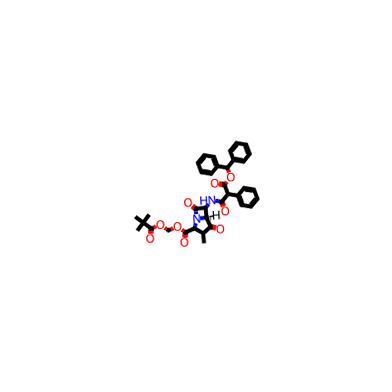 CC1C(=O)[C@@H]2C(NC(=O)C(C(=O)OC(c3ccccc3)c3ccccc3)c3ccccc3)C(=O)N2C1C(=O)OCOC(=O)C(C)(C)C